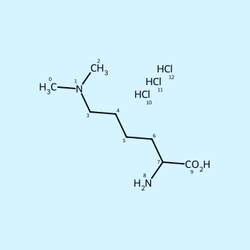 CN(C)CCCCC(N)C(=O)O.Cl.Cl.Cl